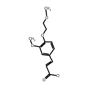 COCCOc1ccc(/C=C/C(=O)Cl)cc1OC